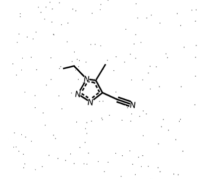 CCn1nnc(C#N)c1C